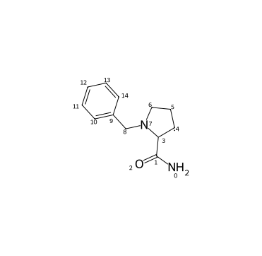 NC(=O)C1[CH]CCN1Cc1ccccc1